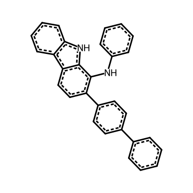 c1ccc(Nc2c(-c3ccc(-c4ccccc4)cc3)ccc3c2[nH]c2ccccc23)cc1